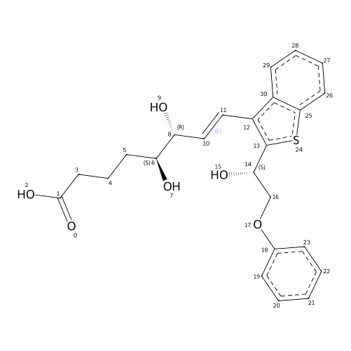 O=C(O)CCC[C@H](O)[C@H](O)/C=C/c1c([C@@H](O)COc2ccccc2)sc2ccccc12